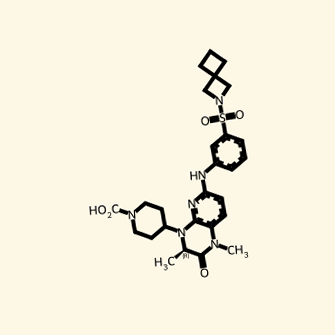 C[C@@H]1C(=O)N(C)c2ccc(Nc3cccc(S(=O)(=O)N4CC5(CCC5)C4)c3)nc2N1C1CCN(C(=O)O)CC1